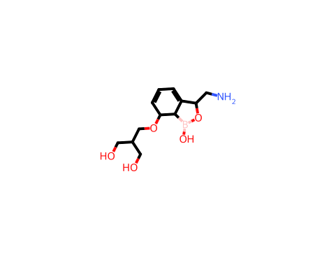 NCC1OB(O)C2C1=CC=CC2OCC(CO)CO